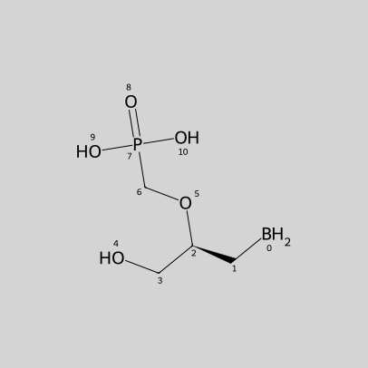 BC[C@@H](CO)OCP(=O)(O)O